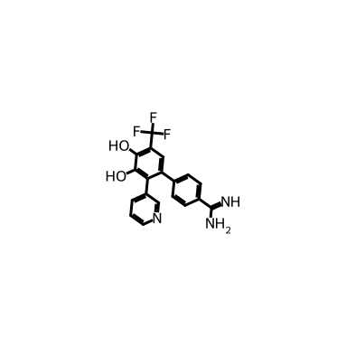 N=C(N)c1ccc(-c2cc(C(F)(F)F)c(O)c(O)c2-c2cccnc2)cc1